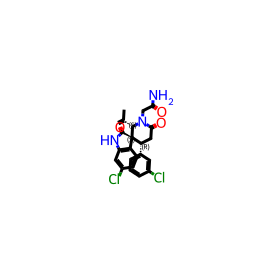 C=C(C)[C@@H]1N(CC(N)=O)C(=O)C[C@H](c2cccc(Cl)c2)[C@@]12C(=O)Nc1cc(Cl)ccc12